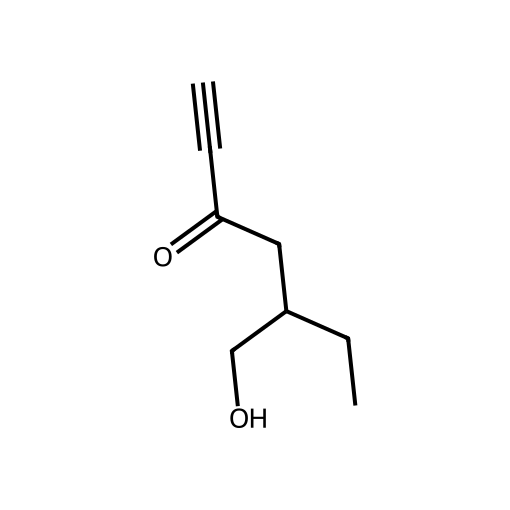 C#CC(=O)CC(CC)CO